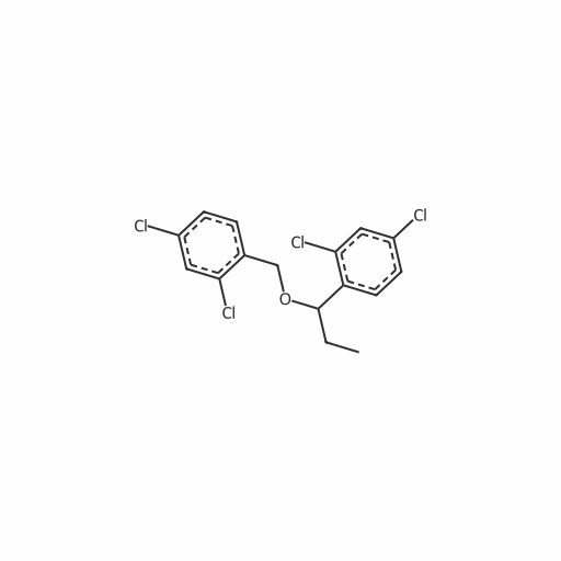 CCC(OCc1ccc(Cl)cc1Cl)c1ccc(Cl)cc1Cl